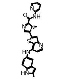 Cc1cc2cc(Nc3ccnc4cc(-c5cnc(C(=O)Nc6ccccn6)n5C)sc34)ccc2[nH]1